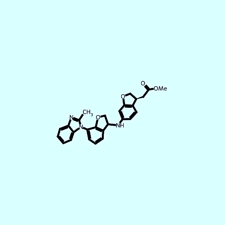 COC(=O)C[C@@H]1COc2cc(NC3COc4c3cccc4-n3c(C)nc4ccccc43)ccc21